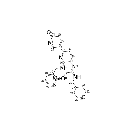 COC/C(=N\c1ccc(C2=CCC(=O)N=C2)nc1NCc1cccnc1)NCC1CCOCC1